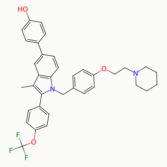 Cc1c(-c2ccc(OC(F)(F)F)cc2)n(Cc2ccc(OCCN3CCCCC3)cc2)c2ccc(-c3ccc(O)cc3)cc12